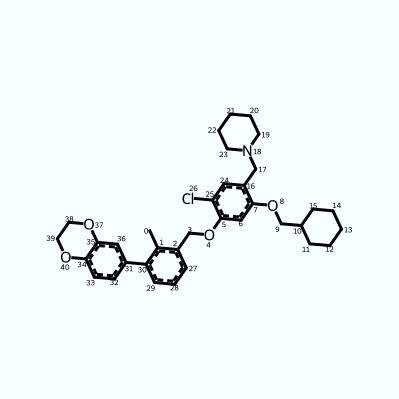 Cc1c(COc2cc(OCC3CCCCC3)c(CN3CCCCC3)cc2Cl)cccc1-c1ccc2c(c1)OCCO2